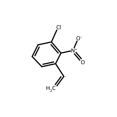 C=[C]c1cccc(Cl)c1[N+](=O)[O-]